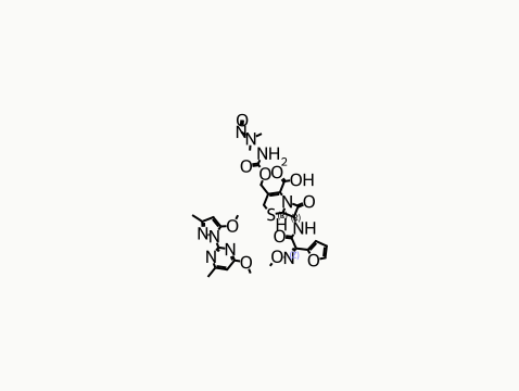 CN(C)N=O.CO/N=C(\C(=O)N[C@@H]1C(=O)N2C(C(=O)O)=C(COC(N)=O)CS[C@H]12)c1ccco1.COc1cc(C)nc(-n2nc(C)cc2OC)n1